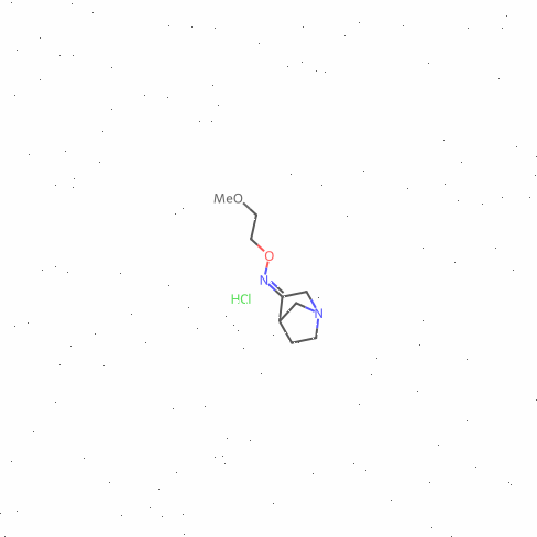 COCCON=C1CN2CCC1C2.Cl